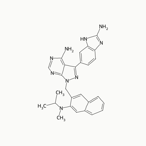 CC(C)N(C)c1cc2ccccc2cc1Cn1nc(-c2ccc3nc(N)[nH]c3c2)c2c(N)ncnc21